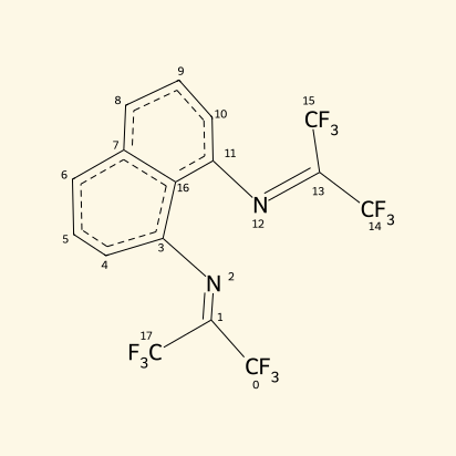 FC(F)(F)C(=Nc1cccc2cccc(N=C(C(F)(F)F)C(F)(F)F)c12)C(F)(F)F